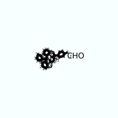 CC(c1ccc(CC=O)cc1)[C@]1(C)CC(=O)N(C(c2ccccc2)(c2ccccc2)c2ccccc2)C1=O